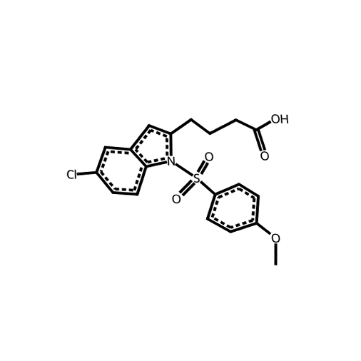 COc1ccc(S(=O)(=O)n2c(CCCC(=O)O)cc3cc(Cl)ccc32)cc1